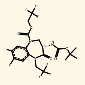 CC(C)(C)OC(=O)N[C@H]1CN(C(=O)OCC(F)(F)F)c2cc(F)c(F)cc2N(CC(F)(F)F)C1=O